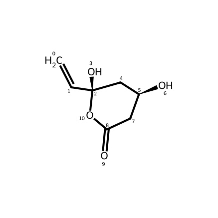 C=C[C@]1(O)C[C@@H](O)CC(=O)O1